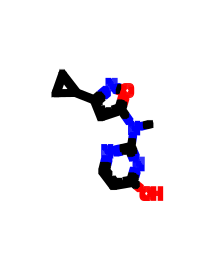 CN(c1nccc(O)n1)c1cc(C2CC2)no1